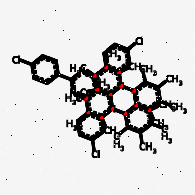 Cc1c(C)c(C)c2c(c1C)Cc1c(C)c(C)c(C)c(C)c1N2c1cc(Cl)ccc1-c1nc(-c2ccc(Cl)cc2)nc(-c2ccc(Cl)cc2N2c3c(C)c(C)c(C)c(C)c3Cc3c(C)c(C)c(C)c(C)c32)n1